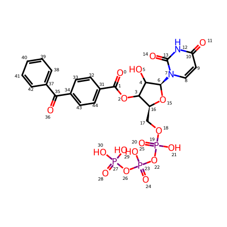 O=C(OC1C(O)[C@@H](n2ccc(=O)[nH]c2=O)O[C@H]1COP(=O)(O)OP(=O)(O)OP(=O)(O)O)c1ccc(C(=O)c2ccccc2)cc1